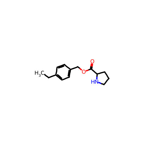 CCc1ccc(COC(=O)C2CCCN2)cc1